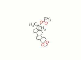 CC(=O)OC[C@@H](C)C1CCC2C3=CC=C4CC5(CCC4C3CC[C@@]21C)OCCO5